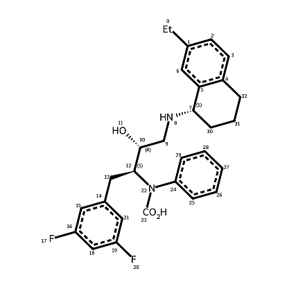 CCc1ccc2c(c1)[C@@H](NC[C@@H](O)[C@H](Cc1cc(F)cc(F)c1)N(C(=O)O)c1ccccc1)CCC2